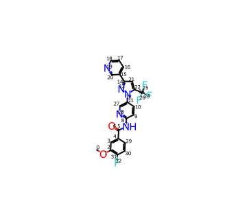 COc1cc(C(=O)Nc2ccc(-n3nc(-c4cccnc4)cc3C(F)(F)F)cn2)ccc1F